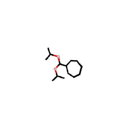 CC(C)OC(OC(C)C)C1CCCCCC1